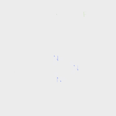 Fc1ccc(-c2nc(-c3ccccc3)nc(-c3ccccc3)n2)cc1Cl